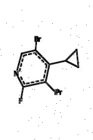 CC(C)c1c(F)ncc(Br)c1C1CC1